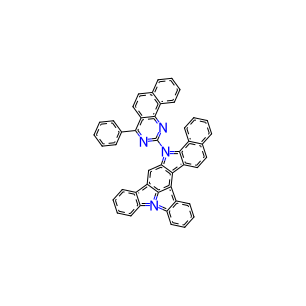 c1ccc(-c2nc(-n3c4cc5c6ccccc6n6c7ccccc7c(c4c4ccc7ccccc7c43)c56)nc3c2ccc2ccccc23)cc1